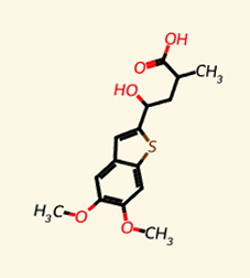 COc1cc2cc(C(O)CC(C)C(=O)O)sc2cc1OC